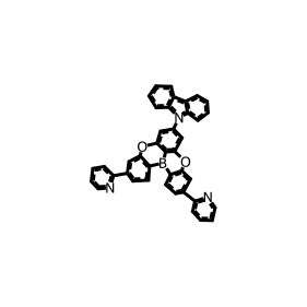 c1ccc(-c2ccc3c(c2)Oc2cc(-n4c5ccccc5c5ccccc54)cc4c2B3c2ccc(-c3ccccn3)cc2O4)nc1